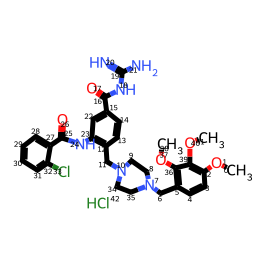 COc1ccc(CN2CCN(Cc3ccc(C(=O)NC(=N)N)cc3NC(=O)c3ccccc3Cl)CC2)c(OC)c1OC.Cl